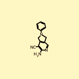 N#Cc1c(N)ncc2c1CN(c1ccccc1)C2